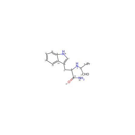 CC(C)C(C=O)NC(Cc1c[nH]c2ccccc12)C(N)=O